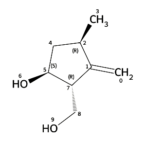 C=C1[C@H](C)C[C@H](O)[C@H]1CO